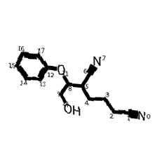 N#CCCCC(C#N)C(CO)Oc1ccccc1